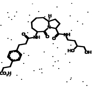 O=C(O)CCc1ccc(CCC(=O)NC2CCCC[C@H]3CCC(C(=O)NCCC(O)CO)N3C2=O)cc1